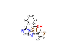 Cc1cscc1C1=Nc2cncn2[SH]1C(O)C1CCCCC1